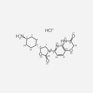 Cl.N[C@H]1CC[C@H](C2CN(c3ccc4c(n3)NC(=O)CO4)C(=O)O2)CC1